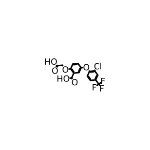 O=C(O)COc1ccc(Oc2ccc(C(F)(F)F)cc2Cl)cc1C(=O)O